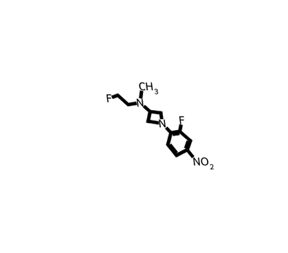 CN(CCF)C1CN(c2ccc([N+](=O)[O-])cc2F)C1